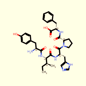 CC[C@H](C)[C@H](NC(=O)[C@@H](N)Cc1ccc(O)cc1)C(=O)N[C@@H](Cc1cnc[nH]1)C(=O)N1CCC[C@H]1C(=O)N[C@@H](Cc1ccccc1)C(=O)O